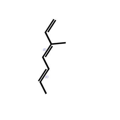 C=C/C(C)=C/C=C/C